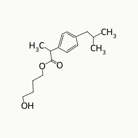 CC(C)Cc1ccc(C(C)C(=O)OCCCCO)cc1